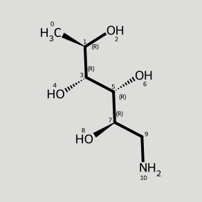 C[C@@H](O)[C@@H](O)[C@H](O)[C@H](O)CN